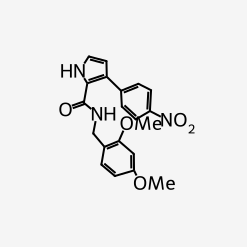 COc1ccc(CNC(=O)c2[nH]ccc2-c2ccc([N+](=O)[O-])cc2)c(OC)c1